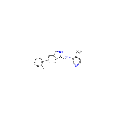 Cc1ccccc1-c1ccc2c(c1)CNC2CNc1cnccc1C(=O)O